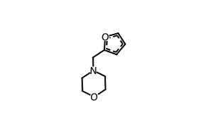 c1coc(CN2CCOCC2)c1